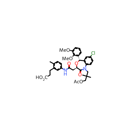 COc1cccc([C@H]2O[C@H](CC(=O)Nc3ccc(C)c(CCC(=O)O)c3)C(=O)N(CC(C)(C)COC(C)=O)c3ccc(Cl)cc32)c1OC